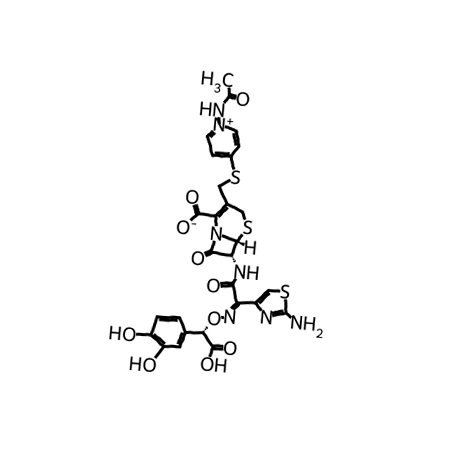 CC(=O)N[n+]1ccc(SCC2=C(C(=O)[O-])N3C(=O)[C@@H](NC(=O)/C(=N\O[C@H](C(=O)O)c4ccc(O)c(O)c4)c4csc(N)n4)[C@H]3SC2)cc1